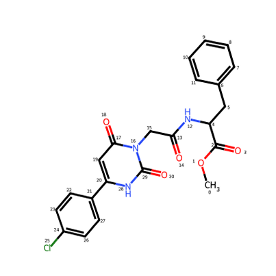 COC(=O)C(Cc1ccccc1)NC(=O)Cn1c(=O)cc(-c2ccc(Cl)cc2)[nH]c1=O